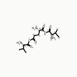 CC(C)[C@H](N)C(=O)OC(=O)CC[C@H](N)C(=O)OC(=O)[C@@H](N)C(C)C